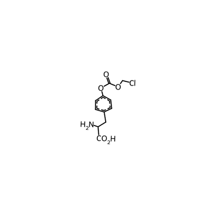 NC(Cc1ccc(OC(=O)OCCl)cc1)C(=O)O